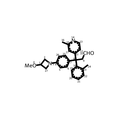 COC1CN(c2ccc(C(CC=O)(c3ccnc(C)c3)c3ccccc3C)cc2)C1